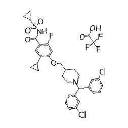 O=C(NS(=O)(=O)C1CC1)c1cc(C2CC2)c(OCC2CCN(C(c3cccc(Cl)c3)c3cccc(Cl)c3)CC2)cc1F.O=C(O)C(F)(F)F